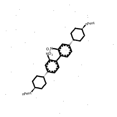 CCCCC[C@H]1CC[C@H](c2ccc(-c3ccc([C@H]4CC[C@H](CCCCC)CC4)cc3[N+](=O)[O-])c([N+](=O)[O-])c2)CC1